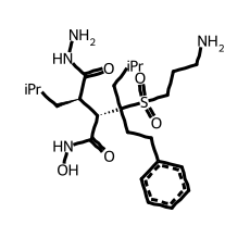 CC(C)C[C@@H](C(=O)NN)[C@@H](C(=O)NO)C(CCc1ccccc1)(CC(C)C)S(=O)(=O)CCCN